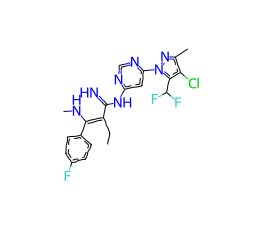 CC/C(C(=N)Nc1cc(-n2nc(C)c(Cl)c2C(F)F)ncn1)=C(/NC)c1ccc(F)cc1